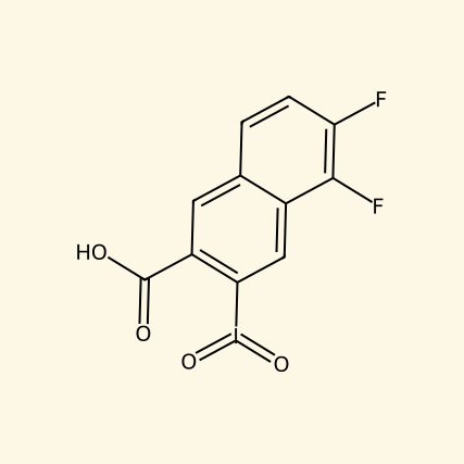 O=C(O)c1cc2ccc(F)c(F)c2cc1I(=O)=O